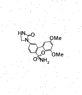 COc1cc(OC)cc(-c2cc(N3CCNC3=O)ccc2S(N)(=O)=O)c1